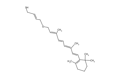 CC1=C(/C=C/C(C)=C/C=C/C(C)=C/COC/C=C/CS)C(C)(C)CCC1